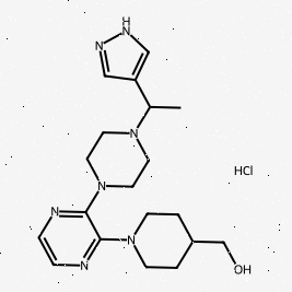 CC(c1cn[nH]c1)N1CCN(c2nccnc2N2CCC(CO)CC2)CC1.Cl